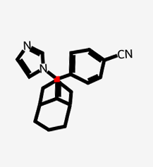 N#Cc1ccc(C(=C2C3CCCC2CCC3)n2ccnc2)cc1